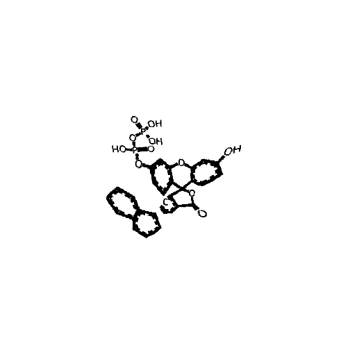 O=C1OC2(c3ccc(O)cc3Oc3cc(OP(=O)(O)OP(=O)(O)O)ccc32)c2ccccc21.c1ccc2ccccc2c1